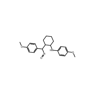 COc1ccc(NC2CCCCC2C(N=O)c2ccc(OC)cc2)cc1